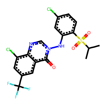 CC(C)S(=O)(=O)c1ccc(Cl)cc1Nn1cnc2c(Cl)cc(C(F)(F)F)cc2c1=O